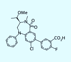 COC(C)[C@@H]1CN(c2ccccc2)c2cc(Cl)c(-c3ccc(F)c(C(=O)O)c3)cc2S(=O)(=O)N1C